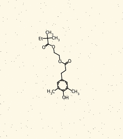 CCC(C)(C)C(=O)OCCOC(=O)CCc1cc(C)c(O)c(C)c1